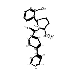 O=C(O)[C@@H]1CCC(c2ccccc2Cl)N1C(=O)c1ccc(-c2ccncc2)cc1